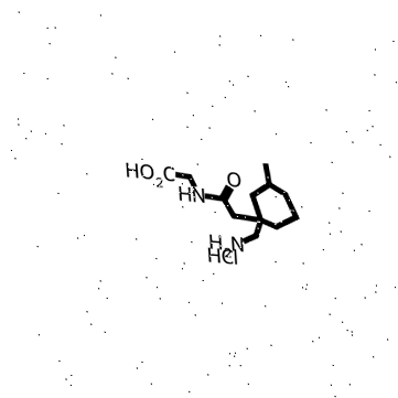 CC1CCCC(CN)(CC(=O)NCC(=O)O)C1.Cl